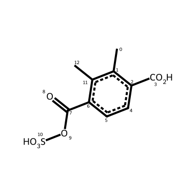 Cc1c(C(=O)O)ccc(C(=O)OS(=O)(=O)O)c1C